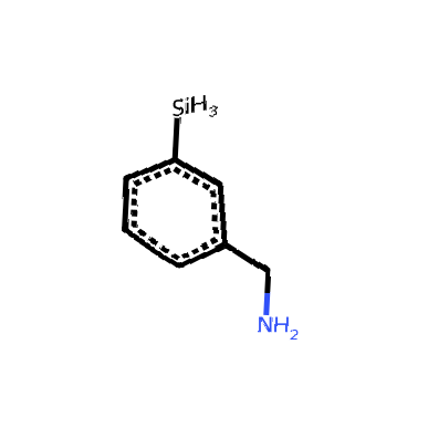 NCc1cccc([SiH3])c1